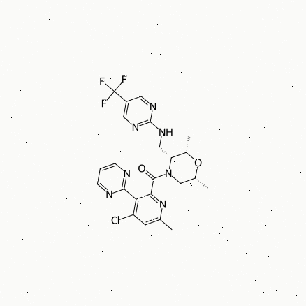 Cc1cc(Cl)c(-c2ncccn2)c(C(=O)N2C[C@@H](C)O[C@@H](C)[C@H]2CNc2ncc(C(F)(F)F)cn2)n1